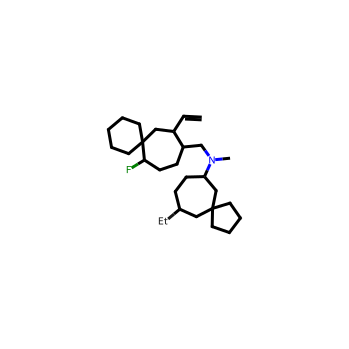 C=CC1CC2(CCCCC2)C(F)CCC1CN(C)C1CCC(CC)CC2(CCCC2)C1